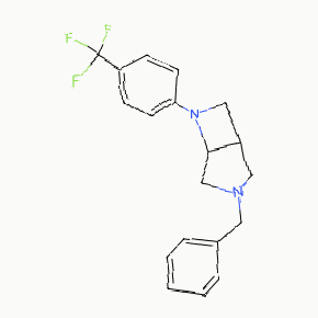 FC(F)(F)c1ccc(N2CC3CN(Cc4ccccc4)CC32)cc1